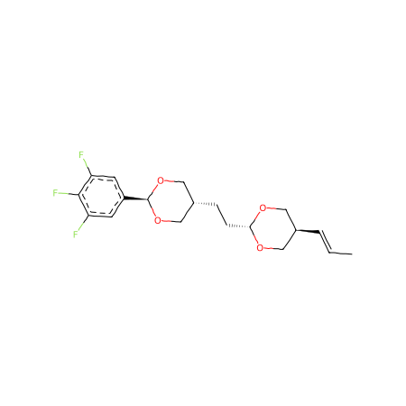 CC=C[C@H]1CO[C@H](CC[C@H]2CO[C@H](c3cc(F)c(F)c(F)c3)OC2)OC1